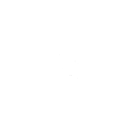 C=C(C)C(=O)OCC.[388CH4]